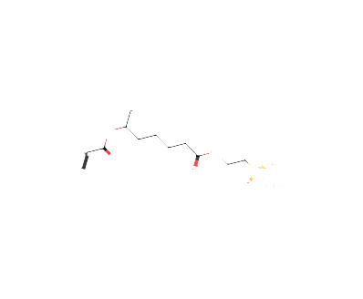 C=CC(=O)OC(C)CCCCC(=O)OCCS(=O)(=O)O